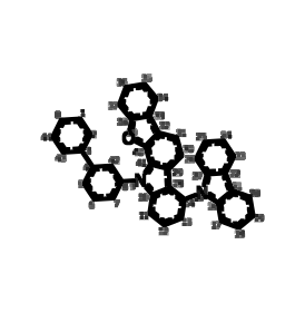 c1ccc(-c2cccc(-n3c4cccc(-n5c6ccccc6c6ccccc65)c4c4ccc5c6ccccc6oc5c43)c2)cc1